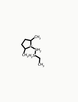 CC[SiH2][SiH2]N1C(C)CCC1C